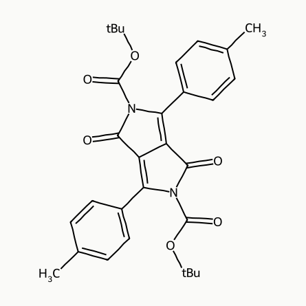 Cc1ccc(C2=C3C(=O)N(C(=O)OC(C)(C)C)C(c4ccc(C)cc4)=C3C(=O)N2C(=O)OC(C)(C)C)cc1